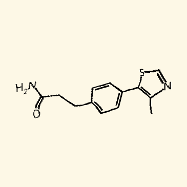 Cc1ncsc1-c1ccc(CCC(N)=O)cc1